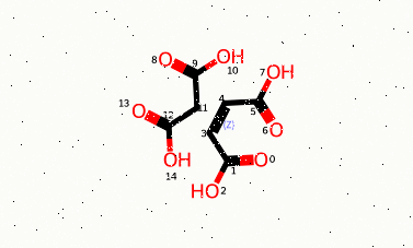 O=C(O)/C=C\C(=O)O.O=C(O)CC(=O)O